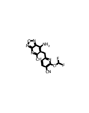 Cc1nc2nonc2c(N)c1Cc1ccc(C#N)c(OC(F)F)n1